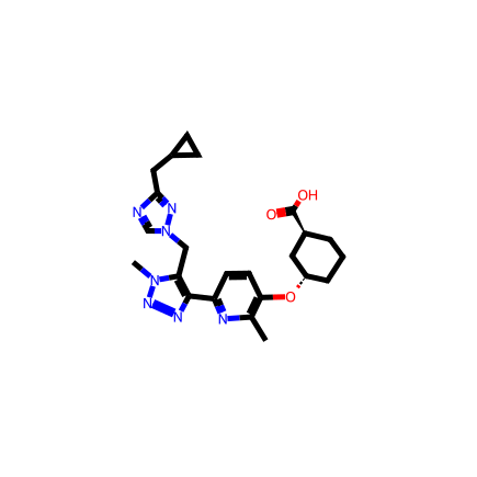 Cc1nc(-c2nnn(C)c2Cn2cnc(CC3CC3)n2)ccc1O[C@H]1CCC[C@H](C(=O)O)C1